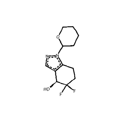 O[C@H]1c2cnn(C3CCCCO3)c2CCC1(F)F